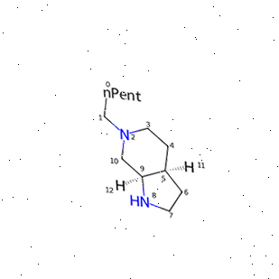 CCCCCCN1CC[C@H]2CCN[C@H]2C1